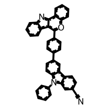 N#Cc1ccc2c3cc(-c4ccc(-c5oc6ccccc6c6nc7ccccc7c5-6)cc4)ccc3n(-c3ccccc3)c2c1